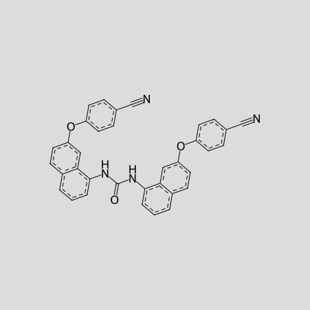 N#Cc1ccc(Oc2ccc3cccc(NC(=O)Nc4cccc5ccc(Oc6ccc(C#N)cc6)cc45)c3c2)cc1